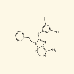 Nc1ncnc2c1nc(Sc1cc(Cl)cc(I)c1)n2CCc1cccnc1